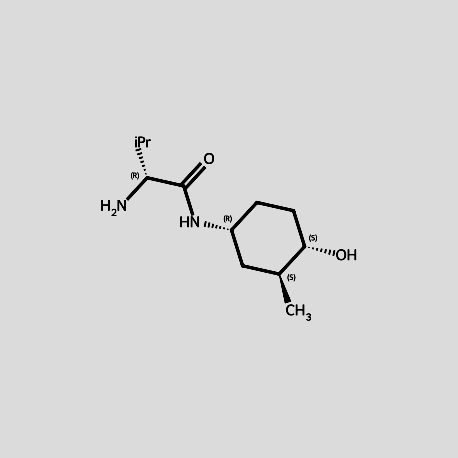 CC(C)[C@@H](N)C(=O)N[C@@H]1CC[C@H](O)[C@@H](C)C1